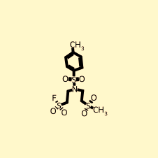 Cc1ccc(S(=O)(=O)N(CCS(C)(=O)=O)CCS(=O)(=O)F)cc1